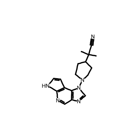 CC(C)(C#N)C1CCN(n2cnc3cnc4[nH]ccc4c32)CC1